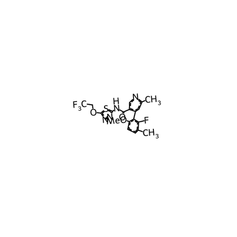 COc1ccc(C)c(F)c1-c1cc(C)ncc1C(=O)Nc1nnc(OCC(F)(F)F)s1